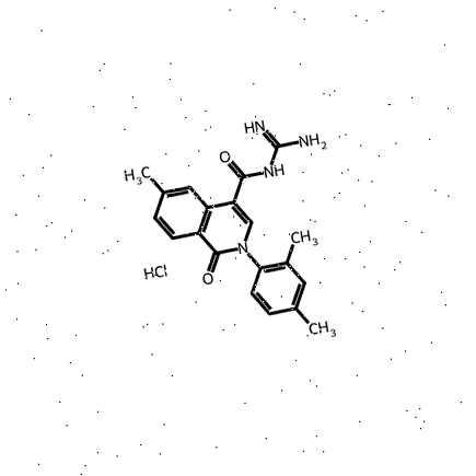 Cc1ccc(-n2cc(C(=O)NC(=N)N)c3cc(C)ccc3c2=O)c(C)c1.Cl